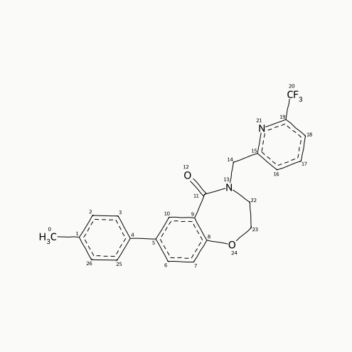 Cc1ccc(-c2ccc3c(c2)C(=O)N(Cc2cccc(C(F)(F)F)n2)CCO3)cc1